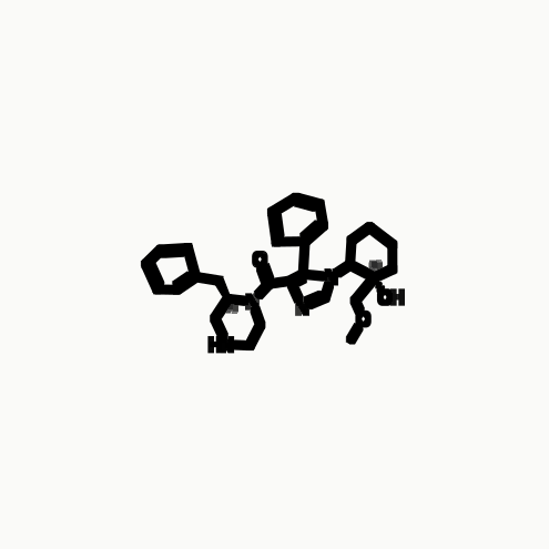 COC[C@]1(O)CCCCC1n1cnc(C(=O)N2CCNC[C@H]2Cc2ccccc2)c1-c1ccccc1